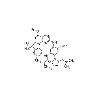 C=CC(=O)Nc1cc(Nc2ncc(C(=O)OC(C)C)c(N3CC(C)(C)c4nc(C)ccc43)n2)c(OC)cc1N1C[C@@H](F)C[C@@H]1CN(C)C